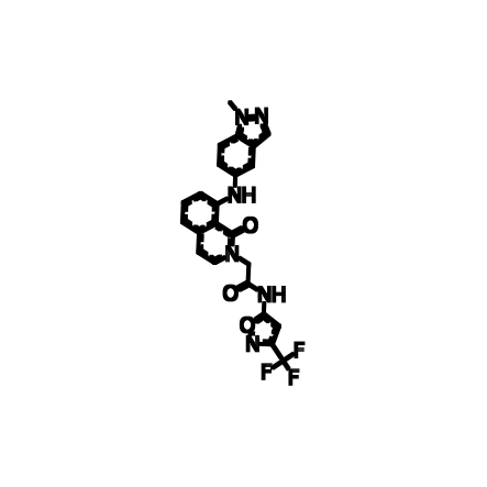 Cn1ncc2cc(Nc3cccc4ccn(CC(=O)Nc5cc(C(F)(F)F)no5)c(=O)c34)ccc21